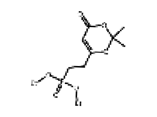 CCOP(=O)(CCC1=CC(=O)OC(C)(C)O1)OCC